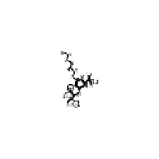 CCCCCCCc1cc(C(C)(C)C)cc2c1OC(C)=C(C(C)=O)C2